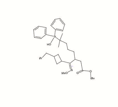 CO/N=C(/C(CCCC(C)(C)[Si](O)(c1ccccc1)c1ccccc1)CC(=O)OC(C)(C)C)C1CC(CC(C)C)C1